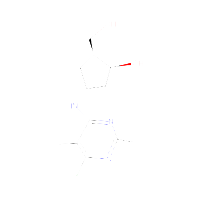 Cc1nc(Cl)c(C)c(N[C@@H]2C[C@@H](CO)[C@@H](O)C2)n1